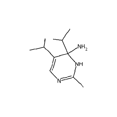 CC1=NC=C(C(C)C)C(N)(C(C)C)N1